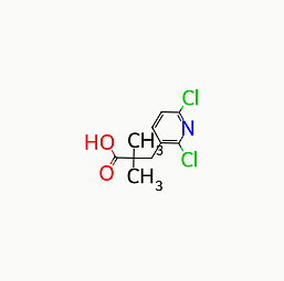 CC(C)(Cc1ccc(Cl)nc1Cl)C(=O)O